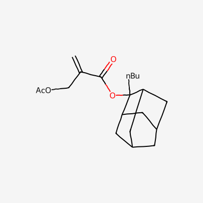 C=C(COC(C)=O)C(=O)OC1(CCCC)C2CC3CC(C2)CC1C3